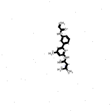 C=CC(=O)Nc1cccc(-c2cc(C)cc(NC(=N)/C=C(/C)N)n2)c1